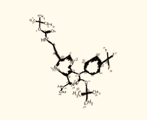 CC(C)(C)OC(=O)NCCc1cnc(N(C(=O)OC(C)(C)C)c2ccc(C(F)(F)F)cc2)c(C(=N)NO)n1